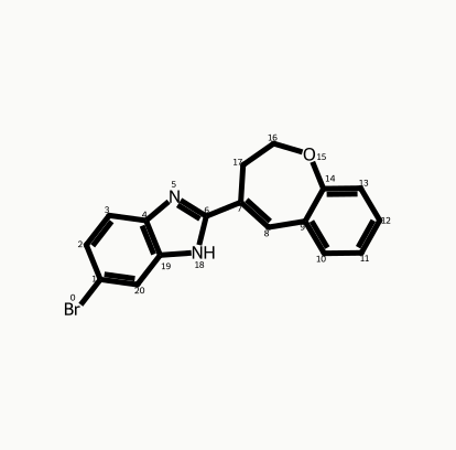 Brc1ccc2nc(C3=Cc4ccccc4OCC3)[nH]c2c1